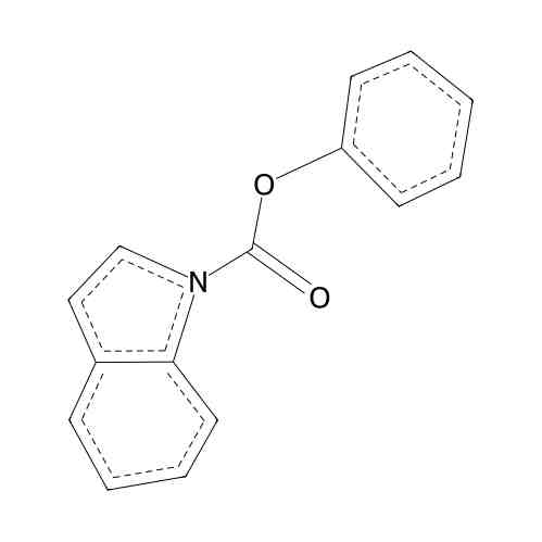 O=C(Oc1ccccc1)n1ccc2ccccc21